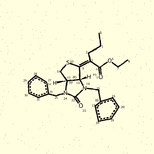 CCCC(C(=O)OCC)=C1SC[C@@H]2[C@H]1N(Cc1ccccc1)C(=O)N2Cc1ccccc1